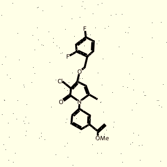 C=C(OC)c1cccc(-n2c(C)cc(OCc3ccc(F)cc3F)c(Cl)c2=O)c1